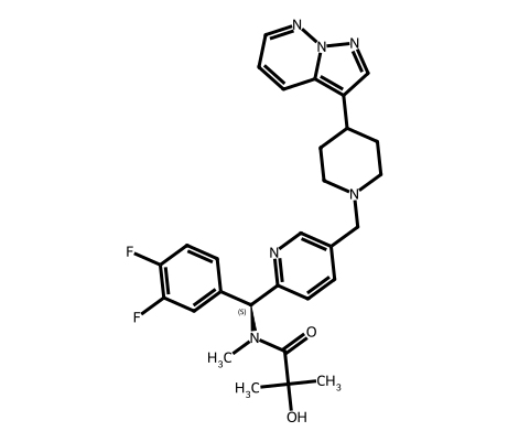 CN(C(=O)C(C)(C)O)[C@@H](c1ccc(F)c(F)c1)c1ccc(CN2CCC(c3cnn4ncccc34)CC2)cn1